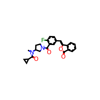 CN(C(=O)C1CC1)C1CCN(C(=O)c2cc(C=C3OC(=O)c4ccccc43)ccc2F)C1